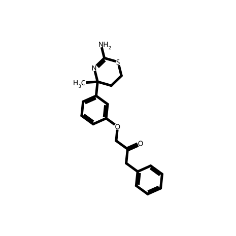 CC1(c2cccc(OCC(=O)Cc3ccccc3)c2)CCSC(N)=N1